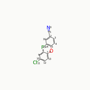 N#Cc1ccc(Oc2ccc(Cl)cc2)c(F)c1